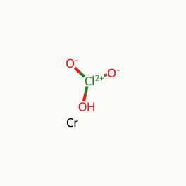 [Cr].[O-][Cl+2]([O-])O